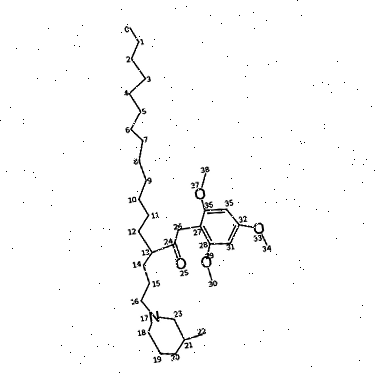 CCCCCCCCCCCCCC(CCCN1CCCC(C)C1)C(=O)Cc1c(OC)cc(OC)cc1OC